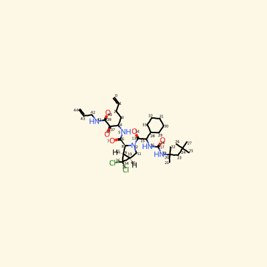 C=CCCC(NC(=O)[C@@H]1[C@H]2[C@@H](CN1C(=O)C(NC(=O)NC(C)(C)CC(C)(C)C)C1CCCCC1)C2(Cl)Cl)C(=O)C(=O)NCC=C